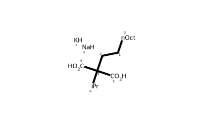 CCCCCCCCCCC(C(=O)O)(C(=O)O)C(C)C.[KH].[NaH]